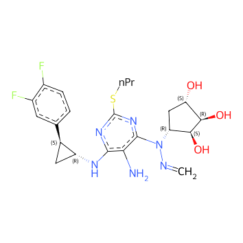 C=NN(c1nc(SCCC)nc(N[C@@H]2C[C@H]2c2ccc(F)c(F)c2)c1N)[C@@H]1C[C@H](O)[C@@H](O)[C@H]1O